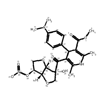 COC(=O)C1=C(C)NC(C)=C(C(=O)[C@@]2(O)CO[C@@H]3[C@@H](O[N+](=O)[O-])CO[C@@H]32)C1c1ccc(N(C)C)cc1